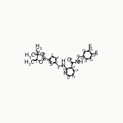 C=C1OB(c2ccc(CNc3ncccc3C(=O)NCc3ccc(F)c(F)c3)s2)OC1(C)C